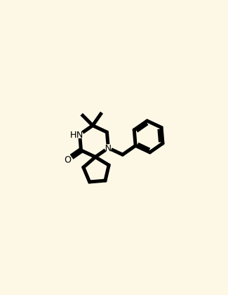 CC1(C)CN(Cc2ccccc2)C2(CCCC2)C(=O)N1